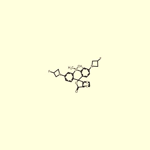 CS1(C)c2cc(N3CC(F)C3)ccc2C2(OC(=O)c3ccccc32)c2ccc(N3CC(F)C3)cc21